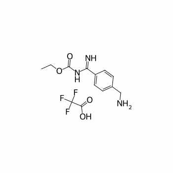 CCOC(=O)NC(=N)c1ccc(CN)cc1.O=C(O)C(F)(F)F